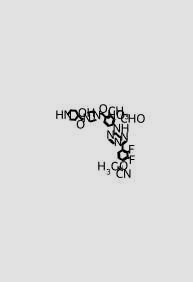 Cc1cc(Nc2nccn3c(-c4ccc(O[C@H](C)C#N)c(F)c4F)cnc23)ccc1C(=O)N1CCN(C(=O)C2(O)CCNCC2)CC1.O=CO